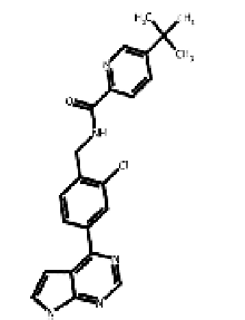 CC(C)(C)c1ccc(C(=O)NCc2ccc(-c3ncnc4[nH]ccc34)cc2Cl)nc1